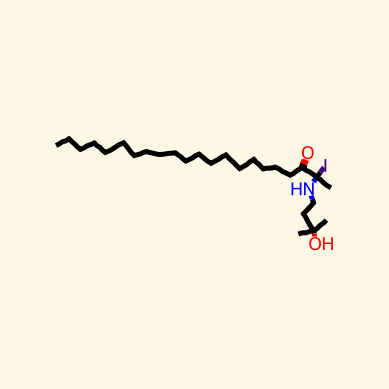 CCCCCCCCCCCCCCCCCCCC(=O)C(C)(I)NCCC(C)(C)O